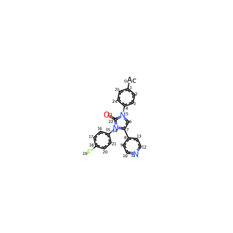 CC(=O)c1ccc(-n2cc(-c3ccncc3)n(-c3ccc(F)cc3)c2=O)cc1